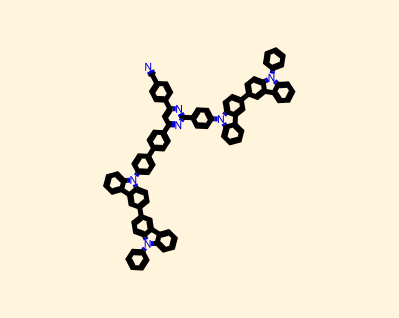 N#Cc1ccc(-c2cc(-c3ccc(-c4ccc(-n5c6ccccc6c6cc(-c7ccc8c(c7)c7ccccc7n8-c7ccccc7)ccc65)cc4)cc3)nc(-c3ccc(-n4c5ccccc5c5cc(-c6ccc7c(c6)c6ccccc6n7-c6ccccc6)ccc54)cc3)n2)cc1